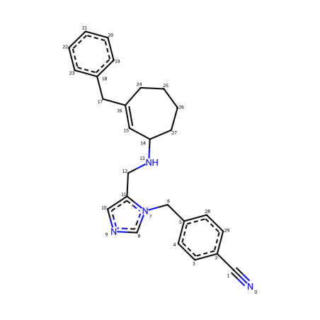 N#Cc1ccc(Cn2cncc2CNC2C=C(Cc3ccccc3)CCCC2)cc1